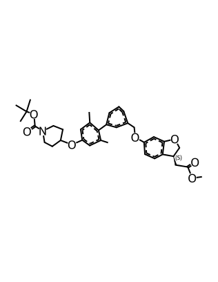 COC(=O)C[C@@H]1COc2cc(OCc3cccc(-c4c(C)cc(OC5CCN(C(=O)OC(C)(C)C)CC5)cc4C)c3)ccc21